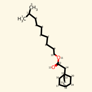 CC(C)CCCCCCCCOC(=O)CC12CCC(CC1)CC2